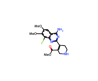 COC(=O)C1=C(c2nc(N)c3cc(OC)c(OC)c(F)c3n2)CCNC1